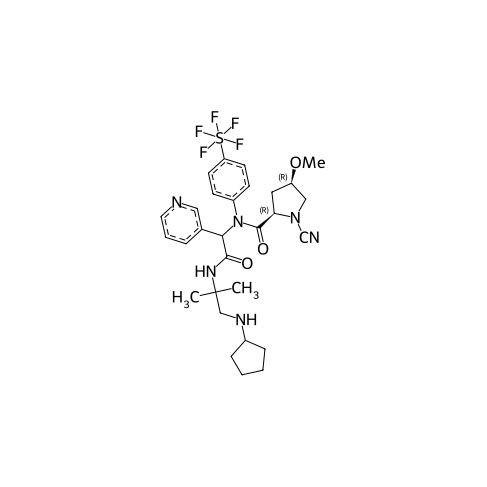 CO[C@@H]1C[C@H](C(=O)N(c2ccc(S(F)(F)(F)(F)F)cc2)C(C(=O)NC(C)(C)CNC2CCCC2)c2cccnc2)N(C#N)C1